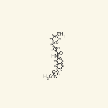 Cc1ncc(-c2ccc3cnc(NC(=O)C45CC(CN6CCN(C)CC6)(C4)C5)cc3c2)o1